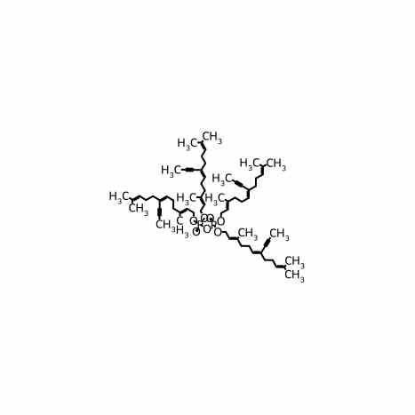 CC#C/C(=C\CC/C(C)=C/COP(=O)(OC/C=C(\C)CC/C=C(\C#CC)CCC=C(C)C)OP(=O)(OC/C=C(\C)CC/C=C(\C#CC)CCC=C(C)C)OC/C=C(\C)CC/C=C(\C#CC)CCC=C(C)C)CCC=C(C)C